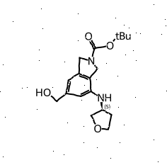 CC(C)(C)OC(=O)N1Cc2cc(CO)cc(N[C@H]3CCOC3)c2C1